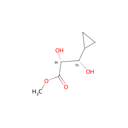 COC(=O)[C@H](O)[C@@H](O)C1CC1